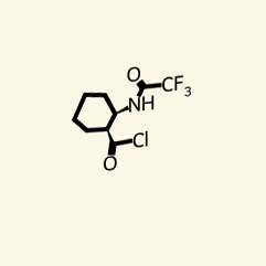 O=C(Cl)[C@H]1CCCC[C@H]1NC(=O)C(F)(F)F